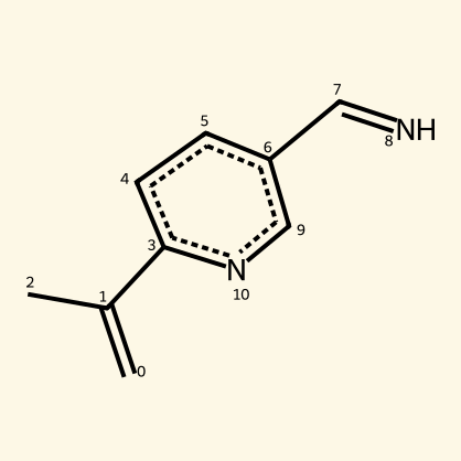 C=C(C)c1ccc(C=N)cn1